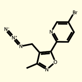 Cc1noc(-c2ccc(Br)cn2)c1CN=[N+]=[N-]